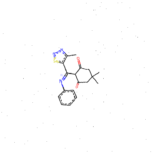 Cc1nnsc1/C(=N/c1ccccc1)C1C(=O)CC(C)(C)CC1=O